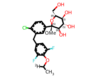 [2H]C(C)Oc1c(F)cc(Cc2cc([C@]3(OC)O[C@H](CO)[C@@H](O)[C@H](O)[C@H]3O)ccc2Cl)cc1F